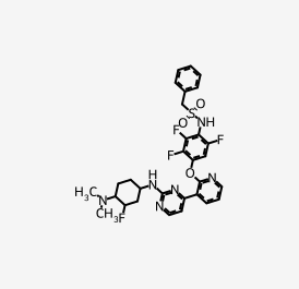 CN(C)C1CCC(Nc2nccc(-c3cccnc3Oc3cc(F)c(NS(=O)(=O)Cc4ccccc4)c(F)c3F)n2)CC1F